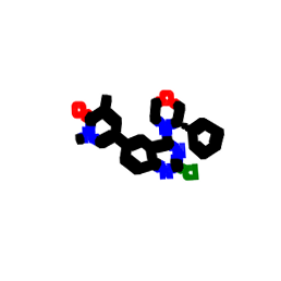 Cc1cc(-c2ccc3nc(Cl)nc(N4CCOC[C@@H]4c4ccccc4)c3c2)cn(C)c1=O